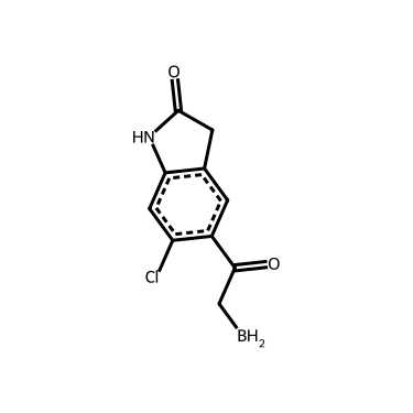 BCC(=O)c1cc2c(cc1Cl)NC(=O)C2